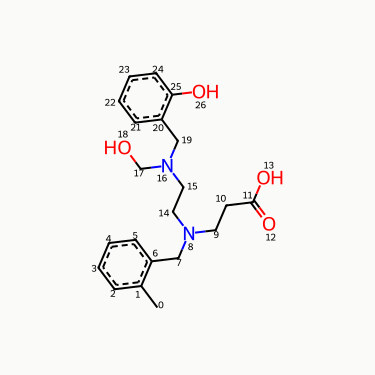 Cc1ccccc1CN(CCC(=O)O)CCN(CO)Cc1ccccc1O